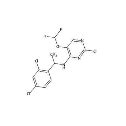 CC(Nc1nc(Cl)ncc1OC(F)F)c1ccc(Cl)cc1Cl